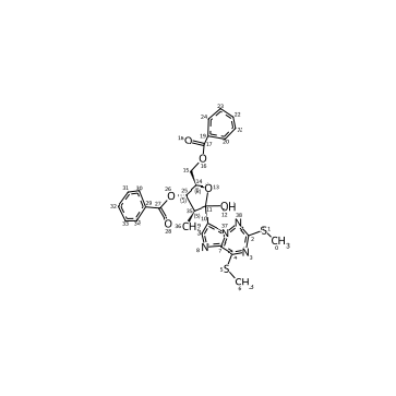 CSc1nc(SC)c2ncc(C3(O)O[C@H](COC(=O)c4ccccc4)[C@@H](OC(=O)c4ccccc4)[C@@H]3C)n2n1